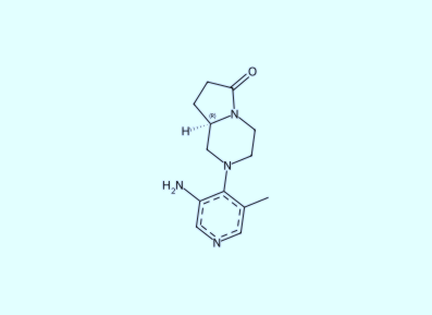 Cc1cncc(N)c1N1CCN2C(=O)CC[C@@H]2C1